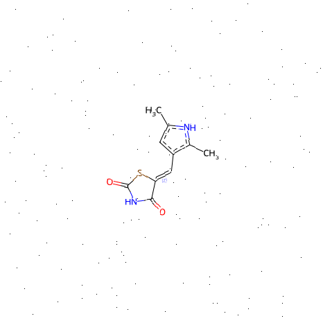 Cc1cc(/C=C2\SC(=O)NC2=O)c(C)[nH]1